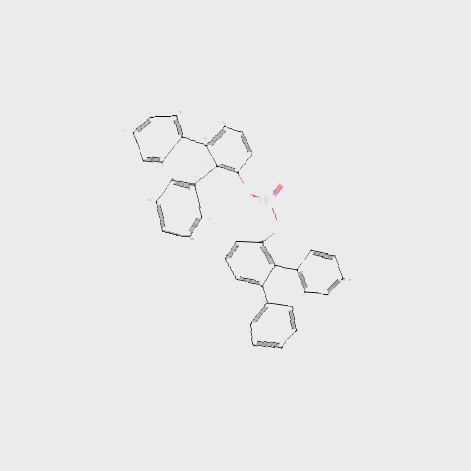 O=[PH](Oc1cccc(-c2ccccc2)c1-c1ccccc1)Oc1cccc(-c2ccccc2)c1-c1ccccc1